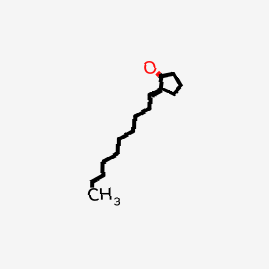 CCCCCCCCC/C=C1\CCCC1=O